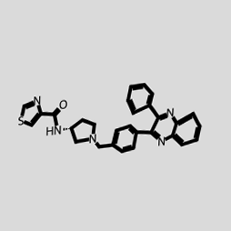 O=C(N[C@@H]1CCN(Cc2ccc(-c3nc4ccccc4nc3-c3ccccc3)cc2)C1)c1cscn1